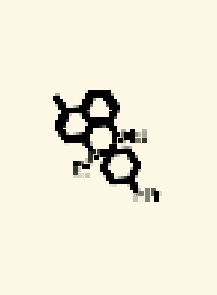 CCCC1CCC2(CC1)N(CC)c1cccc3c(C)ccc(c13)N2CC